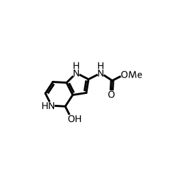 COC(=O)Nc1cc2c([nH]1)C=CNC2O